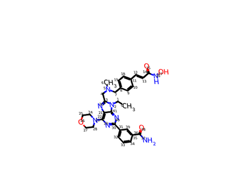 CCn1c(CN(C)Cc2ccc(C=CC(=O)NO)cc2)nc2c(N3CCOCC3)nc(-c3cccc(C(N)=O)c3)nc21